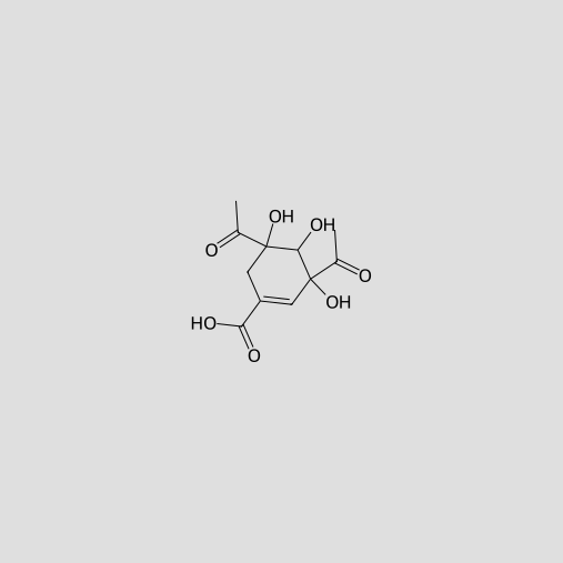 CC(=O)C1(O)C=C(C(=O)O)CC(O)(C(C)=O)C1O